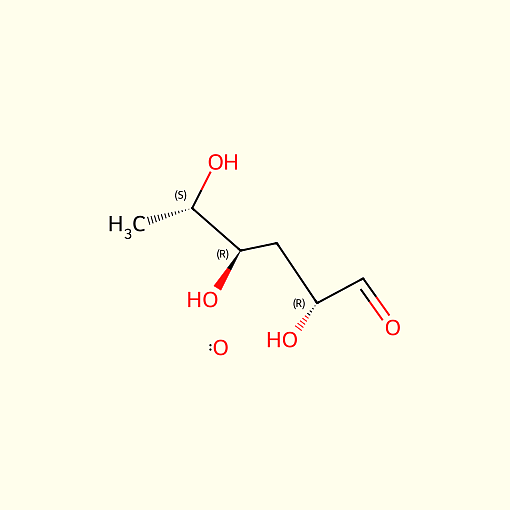 C[C@H](O)[C@H](O)C[C@@H](O)C=O.[O]